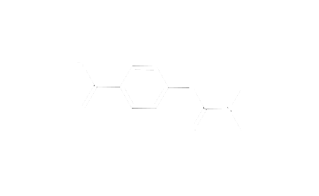 C=C(CC)c1ccc(SC(=O)N(C)C)cc1